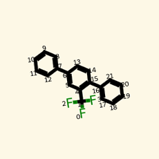 FC(F)(F)c1cc(-c2ccccc2)ccc1-c1ccccc1